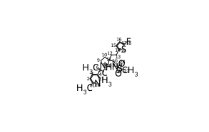 Cc1ccc(C(C)(C)N2CCC(CCc3ccc(F)s3)(CNS(C)(=O)=O)C2)cn1